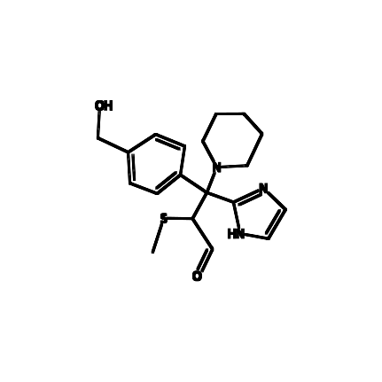 CSC(C=O)C(c1ccc(CO)cc1)(c1ncc[nH]1)N1CCCCC1